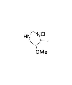 COC1CNCCC1C.Cl